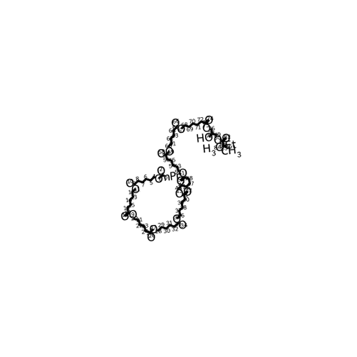 CCCC(=O)OCCCCCC(=O)OCCCCCC(=O)OCCCCCC(=O)OCCCCCC(=O)OCCCCCC(=O)OCCCCCC(=O)OCCCCCC(=O)OCCCCCC(=O)OCCCCCC(=O)OCC(O)COC(=O)C(C)(C)CC